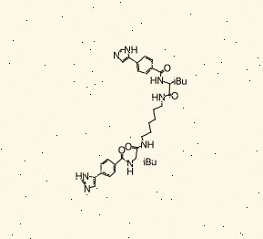 CCC(C)[C@H](NC(=O)c1ccc(-c2cnc[nH]2)cc1)C(=O)NCCCCCCNC(=O)[C@@H](NC(=O)c1ccc(-c2cnc[nH]2)cc1)C(C)CC